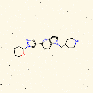 c1nn(C2CCCCO2)cc1-c1ccc2c(ccn2CC2CCNCC2)n1